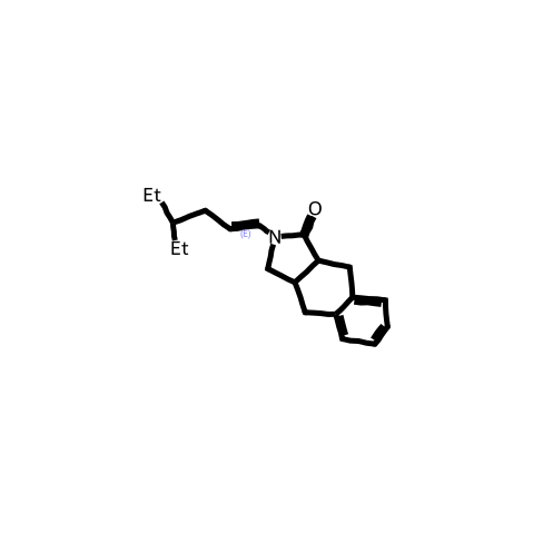 CCC(CC)C/C=C/N1CC2Cc3ccccc3CC2C1=O